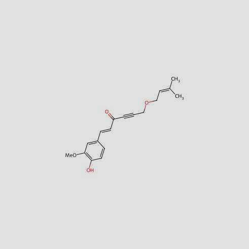 COc1cc(C=CC(=O)C#CCOCC=C(C)C)ccc1O